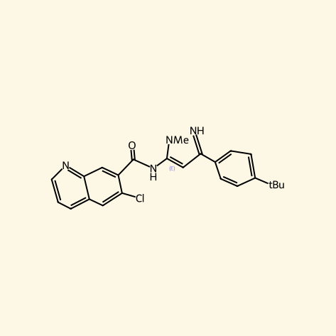 CN/C(=C\C(=N)c1ccc(C(C)(C)C)cc1)NC(=O)c1cc2ncccc2cc1Cl